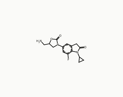 NCC1CN(c2cc(F)c3c(c2)CC(=O)N3C2CC2)C(=O)O1